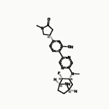 CN1C[C@@H](c2ccc(-c3cnc(N(C)[C@@H]4C[C@H]5CC[C@H](N5)[C@@H]4F)cn3)c(O)c2)CC1=O